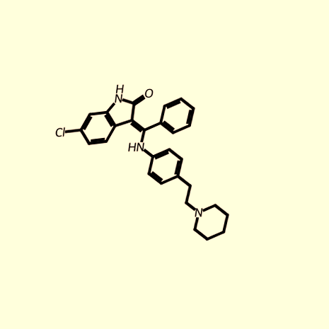 O=C1Nc2cc(Cl)ccc2C1=C(Nc1ccc(CCN2CCCCC2)cc1)c1ccccc1